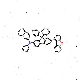 c1ccc(N(c2ccc3c(c2)C(c2ccccc2)(c2ccccc2)c2cc(-c4cccc5oc6ccccc6c45)ccc2-3)c2ccc3ccccc3c2)cc1